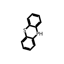 c1ccc2c(c1)Pc1ccccc1S2